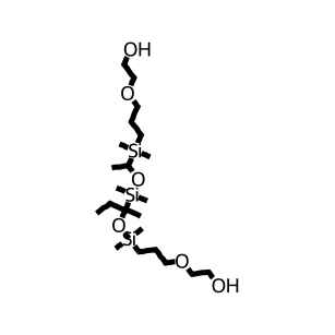 CCC(C)(O[Si](C)(C)CCCOCCO)[Si](C)(C)OC(C)[Si](C)(C)CCCOCCO